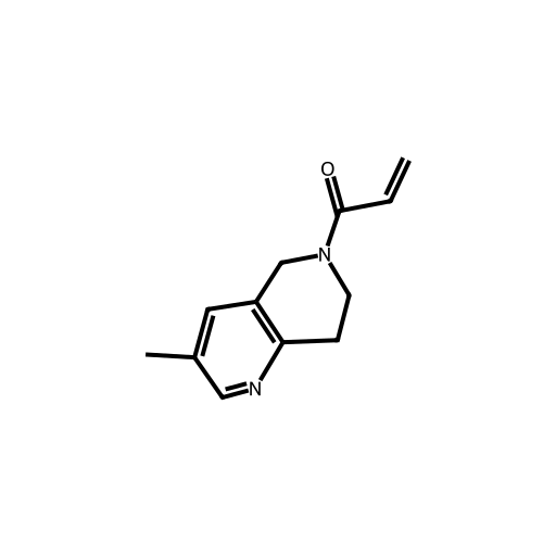 C=CC(=O)N1CCc2ncc(C)cc2C1